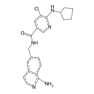 Nc1nccc2cc(CNC(=O)c3cnc(NC4CCCC4)c(Cl)c3)ccc12